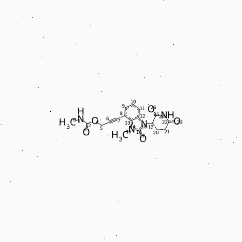 CNC(=O)OCC#Cc1cccc2c1n(C)c(=O)n2C1CCC(=O)NC1=O